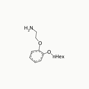 CCCCCCOc1ccccc1OCCN